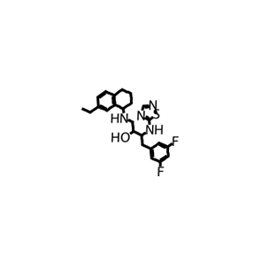 CCc1ccc2c(c1)C(NCC(O)C(Cc1cc(F)cc(F)c1)Nc1ncns1)CCC2